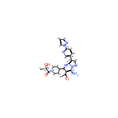 CC(=O)c1c(C2CCN(C(=O)[C@@H](C)O)CC2)nc2c(-c3ccc(-n4cccn4)nc3)cnn2c1N